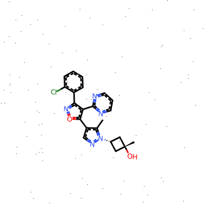 Cc1c(-c2onc(-c3ccccc3Cl)c2-c2ncccn2)cnn1[C@H]1C[C@@](C)(O)C1